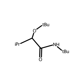 CC(C)C(OC(C)(C)C)C(=O)NC(C)(C)C